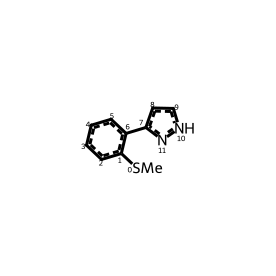 CSc1ccccc1-c1cc[nH]n1